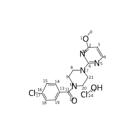 COc1ccnc(N2CCN(C(=O)c3ccc(Cl)cc3)CC2)n1.OCl